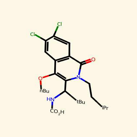 CCCCOc1c(C(NC(=O)O)C(C)(C)C)n(CCC(C)C)c(=O)c2cc(Cl)c(Cl)cc12